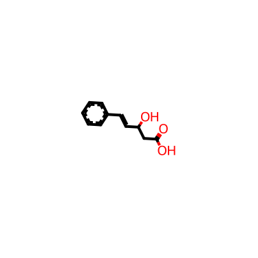 O=C(O)CC(O)C=Cc1ccccc1